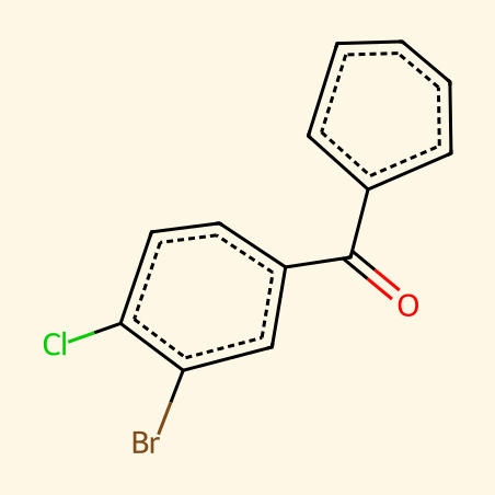 O=C(c1ccccc1)c1ccc(Cl)c(Br)c1